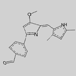 COC1=CC(c2ccc(C=O)cc2)=NC1=Cc1[nH]c(C)cc1C